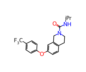 CC(C)NC(=O)N1CCc2ccc(Oc3ccc(C(F)(F)F)cc3)cc2C1